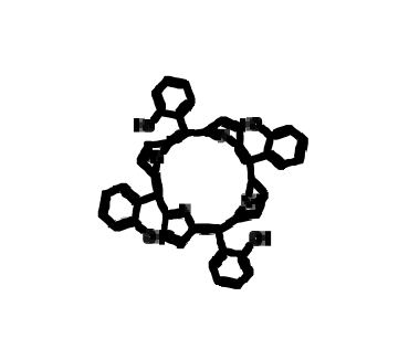 Oc1ccccc1/C1=C2\C=CC(=N2)/C(c2ccccc2O)=c2/cc/c([nH]2)=C(\c2ccccc2O)C2=N/C(=C(/c3ccccc3O)C3CC=C1N3)C=C2